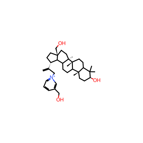 C=C(C[n+]1cccc(CO)c1)[C@@H]1CC[C@]2(CO)CC[C@]3(C)C(CCC4[C@@]5(C)CC[C@H](O)C(C)(C)C5CC[C@]43C)C12